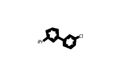 CC(C)c1cccc(-c2cccc(Cl)c2)c1